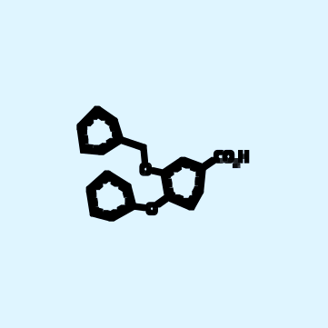 O=C(O)c1ccc(Oc2ccccc2)c(OCc2ccccc2)c1